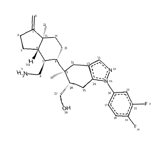 C=C1CC[C@H]2[C@H](CN)[C@@H]([C@@]3(C)Cc4cnn(-c5ccc(F)c(F)c5)c4C[C@@H]3CO)CC[C@]12C